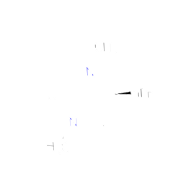 CCC[C@H]1CN(C)CCN1C